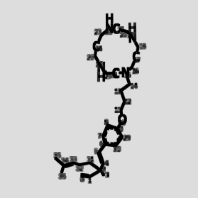 C=C[C@@](C)(/C=C/c1ccc(OCCCCN2CCCNCCNCCCNCC2)cc1)CCC=C(C)C